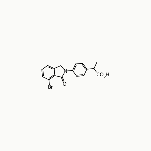 CC(C(=O)O)c1ccc(N2Cc3cccc(Br)c3C2=O)cc1